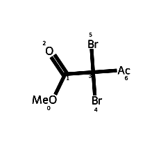 COC(=O)C(Br)(Br)C(C)=O